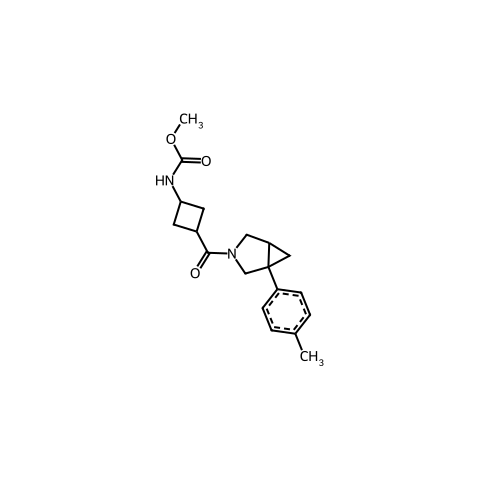 COC(=O)NC1CC(C(=O)N2CC3CC3(c3ccc(C)cc3)C2)C1